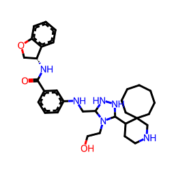 O=C(N[C@@H]1COc2ccccc21)c1cccc(NCC2NNC(C3CCNCC34CCCCCCC4)N2CCO)c1